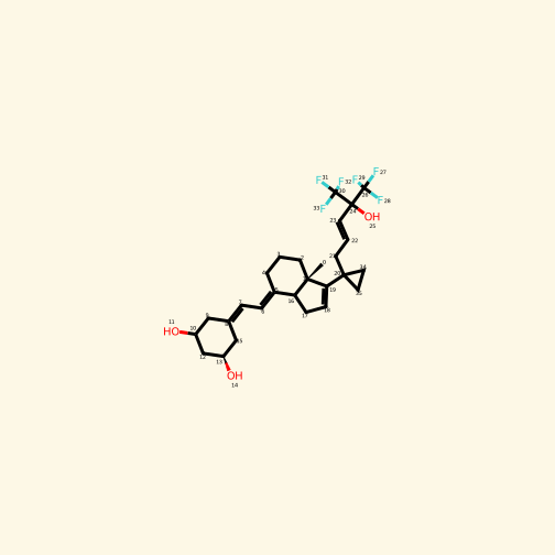 C[C@]12CCC/C(=C\C=C3\CC(O)C[C@H](O)C3)C1CC=C2C1(C/C=C/C(O)(C(F)(F)F)C(F)(F)F)CC1